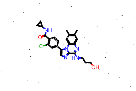 Cc1cc2nc(NCCCO)c3ncc(-c4ccc(C(=O)NC5CC5)c(Cl)c4)n3c2cc1C